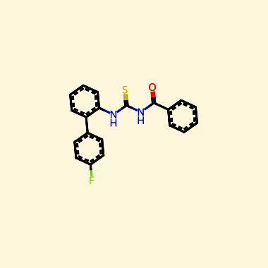 O=C(NC(=S)Nc1ccccc1-c1ccc(F)cc1)c1ccccc1